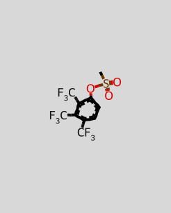 CS(=O)(=O)Oc1ccc(C(F)(F)F)c(C(F)(F)F)c1C(F)(F)F